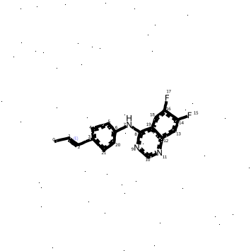 C/C=C/c1ccc(Nc2ncnc3cc(F)c(F)cc23)cc1